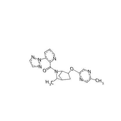 Cc1cnc(OC2CC3CC2N(C(=O)c2ncccc2-n2nccn2)C3C)cn1